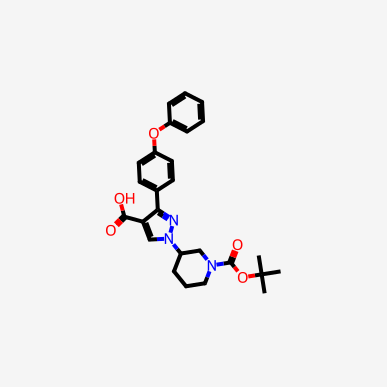 CC(C)(C)OC(=O)N1CCCC(n2cc(C(=O)O)c(-c3ccc(Oc4ccccc4)cc3)n2)C1